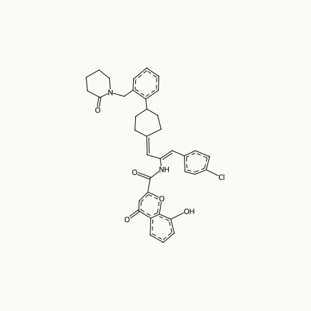 O=C(N/C(C=C1CCC(c2ccccc2CN2CCCCC2=O)CC1)=C\c1ccc(Cl)cc1)c1cc(=O)c2cccc(O)c2o1